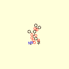 CC(C)(C)[Si](C)(C)Oc1cc(OC(=O)n2ccnc2)c2c(=O)c(OCc3ccccc3)c(-c3ccc4c(c3)OC(c3ccccc3)(c3ccccc3)O4)oc2c1